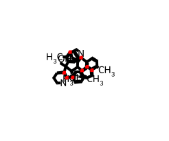 Cc1ccc(C2C(C(c3ccccc3C)C(O)C(CO)(c3ccccc3C)C3C4CCN(CC4)C3c3ccc(C)cc3)C3CCN2CC3)cc1